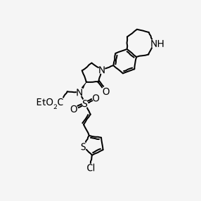 CCOC(=O)CN([C@H]1CCN(c2ccc3c(c2)CCCNC3)C1=O)S(=O)(=O)/C=C/c1ccc(Cl)s1